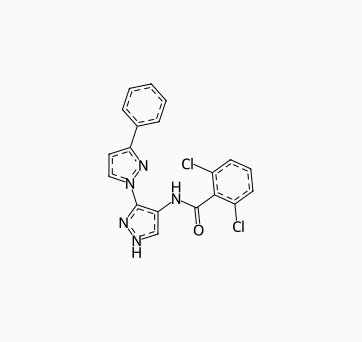 O=C(Nc1c[nH]nc1-n1ccc(-c2ccccc2)n1)c1c(Cl)cccc1Cl